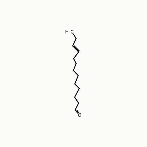 CCC=CCCCCCCCCC=O